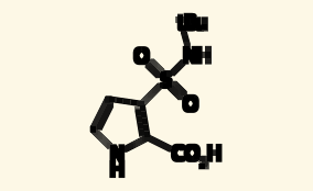 CC(C)(C)NS(=O)(=O)c1cc[nH]c1C(=O)O